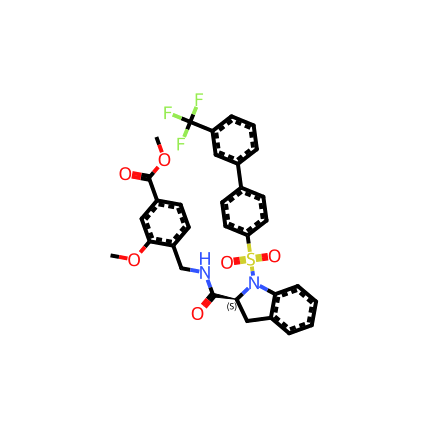 COC(=O)c1ccc(CNC(=O)[C@@H]2Cc3ccccc3N2S(=O)(=O)c2ccc(-c3cccc(C(F)(F)F)c3)cc2)c(OC)c1